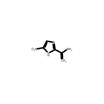 C=C(N)c1ncc([N+](=O)[O-])[nH]1